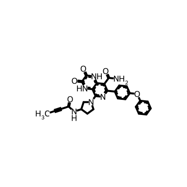 CC#CC(=O)NC1CCN(c2nc(-c3ccc(Oc4ccccc4)cc3)c(C(N)=O)c3[nH]c(=O)c(=O)[nH]c23)C1